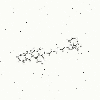 O=C(O)c1c(OCCCCCCCC23CC4CC(CC(C4)C2)C3)cccc1-c1ccc2ccccc2c1